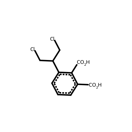 O=C(O)c1cccc(C(CCl)CCl)c1C(=O)O